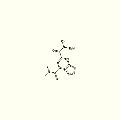 CN(C)C(=O)c1cc(C(=O)[N]([Rb])[RaH])nc2cccn12